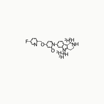 [2H]C1([2H])NCCc2c1c1ccc(-n3ccc(OCc4ccc(F)cn4)cc3=O)cc1n2C([2H])([2H])[2H]